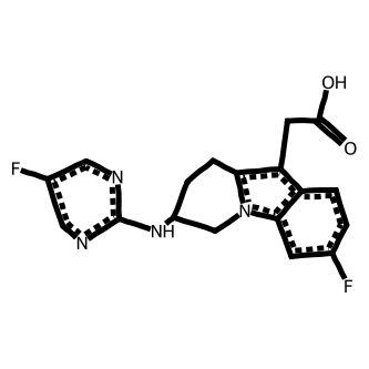 O=C(O)Cc1c2n(c3cc(F)ccc13)CC(Nc1ncc(F)cn1)CC2